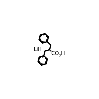 O=C(O)C(Cc1ccccc1)Cc1ccccc1.[LiH]